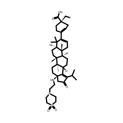 CC(C)C1=C2[C@H]3CC[C@@H]4[C@@]5(C)CC=C(C6=CC[C@@](CF)(C(=O)O)CC6)C(C)(C)[C@@H]5CC[C@@]4(C)[C@]3(C)CC[C@@]2(NCCN2CCS(=O)(=O)CC2)CC1=O